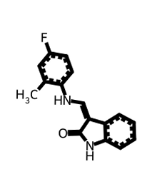 Cc1cc(F)ccc1NC=C1C(=O)Nc2ccccc21